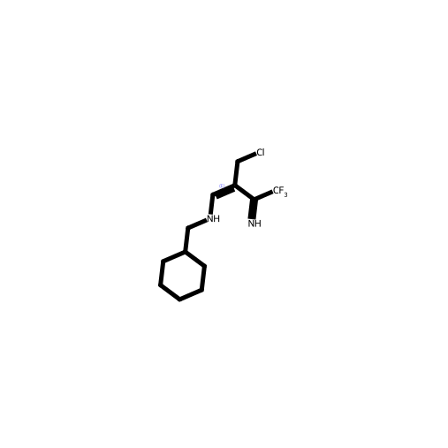 N=C(/C(=C\NCC1CCCCC1)CCl)C(F)(F)F